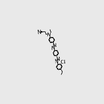 CCc1ccc(N=Nc2ccc(N=Nc3ccc(N(CC)CCC#N)cc3)cc2)c(Cl)c1